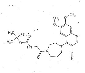 COc1cc2ncc(C#N)c(N3CCCN(C(=O)CNC(=O)OC(C)(C)C)CC3)c2cc1OC